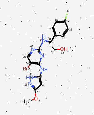 COc1cc(Nc2nc(N[C@@H](CO)c3ccc(F)cc3)ncc2Br)[nH]n1